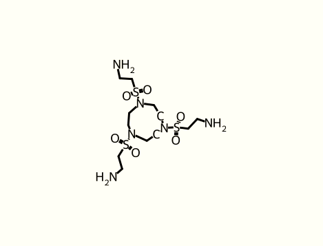 NCCS(=O)(=O)N1CCN(S(=O)(=O)CCN)CCN(S(=O)(=O)CCN)CC1